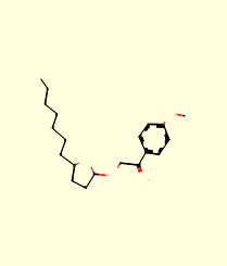 CCCCCCCC1CCC(OCC(=O)c2ccc(OC)cc2)O1